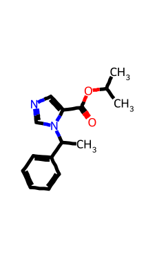 CC(C)OC(=O)c1cncn1C(C)c1ccccc1